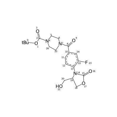 CC(C)(C)OC(=O)N1CCN(C(=O)c2ccc(N3C(=O)OCC3CO)c(F)c2)CC1